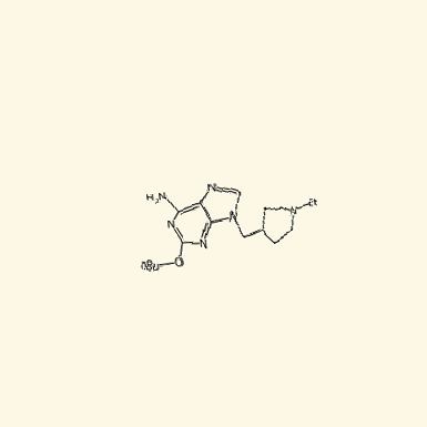 CCCCOc1nc(N)c2ncn(CC3CCN(CC)CC3)c2n1